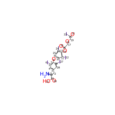 N[C@@H](Cc1cc(I)c(Oc2cc(I)c(OC(=O)COCC(=O)I)c(I)c2)c(I)c1)C(=O)O